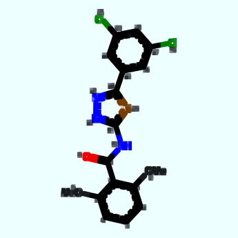 COc1cccc(OC)c1C(=O)Nc1nnc(-c2cc(Cl)cc(Cl)c2)s1